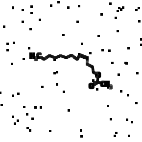 CCCCCCCC/C=C\CCCOC(C)=O